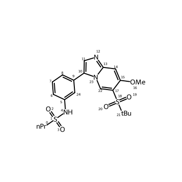 CCCS(=O)(=O)Nc1cccc(-c2cnc3cc(OC)c(S(=O)(=O)C(C)(C)C)cn23)c1